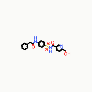 O=C(Cc1ccccc1)Nc1ccc(S(=O)(=O)NC(=O)c2ccc(CO)nc2)cc1